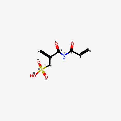 C=CC(=O)NC(=O)C(=C)CS(=O)(=O)O